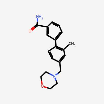 Cc1cc(CN2CCOCC2)ccc1-c1cccc(C(N)=O)c1